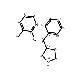 Cc1cccnc1O[C@H](c1ccccc1)C1CCNC1